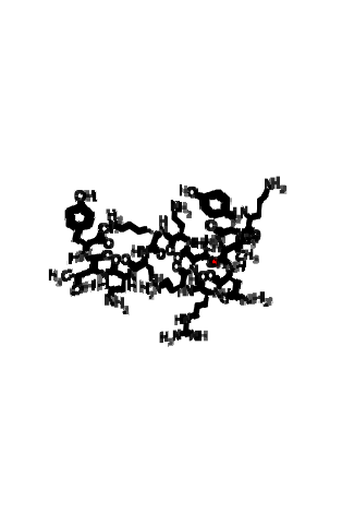 C[C@@H](O)[C@H](NC(=O)[C@H](CCN)NC(=O)[C@H](CS)NC(=O)[C@H](CCCCN)NC(=O)[C@@H](CCN)NC(=O)[C@@H](NC(=O)[C@H](CCN)NC(=O)[C@H](CCCNC(=N)N)NC(=O)[C@H](CC(N)=O)NC(=O)[C@@H](NC(=O)[C@H](Cc1ccc(O)cc1)NC(=O)[C@@H](N)CCCN)C(C)(C)S)[C@@H](C)O)C(=O)N[C@@H](Cc1ccc(O)cc1)C(=O)O